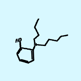 CCCCCN(CCCC)c1ccccc1O